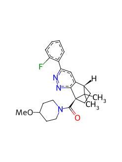 COC1CCN(C(=O)[C@@]23CC[C@@H](c4cc(-c5ccccc5F)nnc42)C3(C)C)CC1